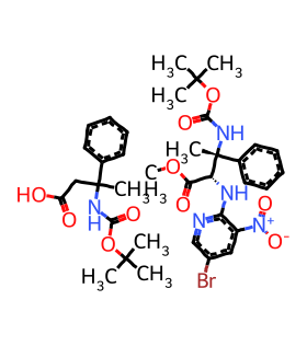 CC(C)(C)OC(=O)NC(C)(CC(=O)O)c1ccccc1.COC(=O)[C@@H](Nc1ncc(Br)cc1[N+](=O)[O-])[C@](C)(NC(=O)OC(C)(C)C)c1ccccc1